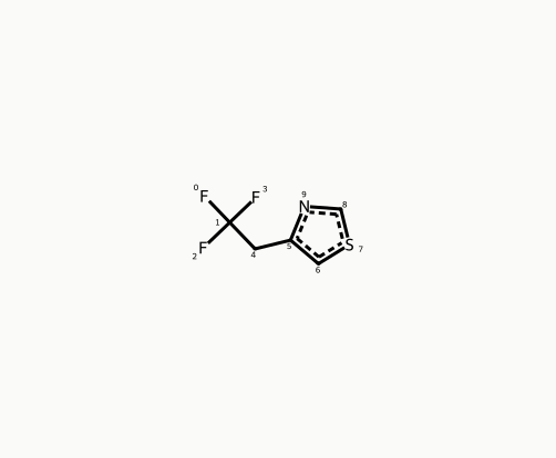 FC(F)(F)Cc1cscn1